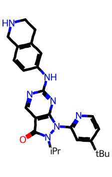 CC(C)n1c(=O)c2cnc(Nc3ccc4c(c3)CCNC4)nc2n1-c1cc(C(C)(C)C)ccn1